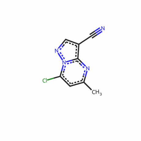 Cc1cc(Cl)n2ncc(C#N)c2n1